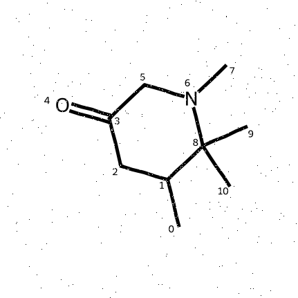 CC1CC(=O)CN(C)C1(C)C